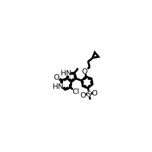 Cc1[nH]c2c(=O)[nH]cc(Cl)c2c1-c1cc(S(C)(=O)=O)ccc1OCCC1CC1